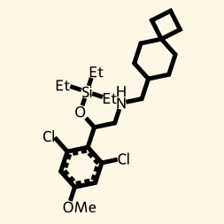 CC[Si](CC)(CC)OC(CNCC1CCC2(CCC2)CC1)c1c(Cl)cc(OC)cc1Cl